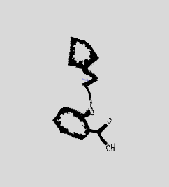 O=C(O)c1ccccc1S/C=C/c1ccccc1